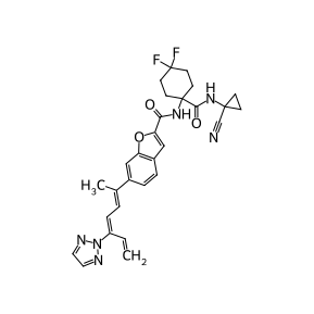 C=C/C(=C\C=C(/C)c1ccc2cc(C(=O)NC3(C(=O)NC4(C#N)CC4)CCC(F)(F)CC3)oc2c1)n1nccn1